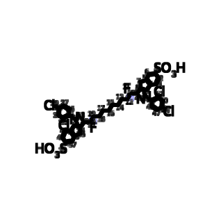 O=S(=O)(O)c1ccc2c(c1)Cc1c(/C(F)=C/CCCCCC/C=C(\F)c3nn(-c4ccc(Cl)cc4Cl)c4c3Cc3cc(S(=O)(=O)O)ccc3-4)nn(-c3ccc(Cl)cc3Cl)c1-2